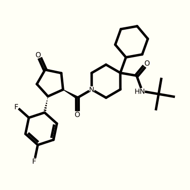 CC(C)(C)NC(=O)C1(C2CCCCC2)CCN(C(=O)[C@@H]2CC(=O)C[C@H]2C2C=CC(F)=CC2F)CC1